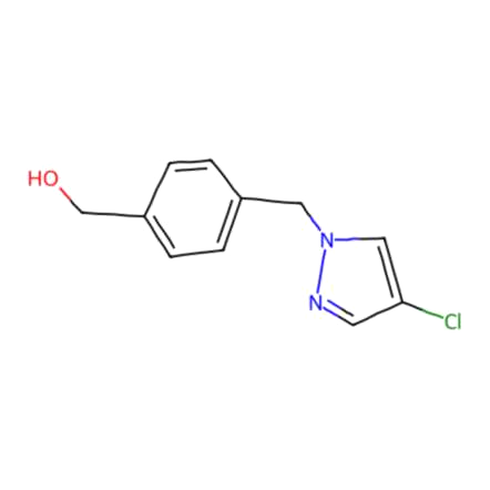 OCc1ccc(Cn2cc(Cl)cn2)cc1